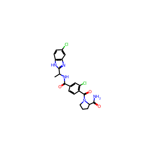 CC(NC(=O)c1ccc(C(=O)N2CCCC2C(N)=O)c(Cl)c1)c1nc2cc(Cl)ccc2[nH]1